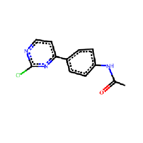 CC(=O)Nc1ccc(-c2ccnc(Cl)n2)cc1